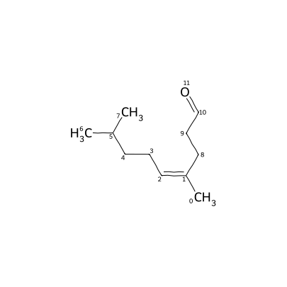 CC(=CCCC(C)C)CCC=O